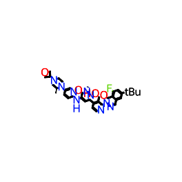 C[C@H]1CN(C2COC2)CCN1c1ccc(Nc2cc(-c3ccnc(-n4ncc5cc(C(C)(C)C)cc(F)c5c4=O)c3CO)nn(C)c2=O)nc1